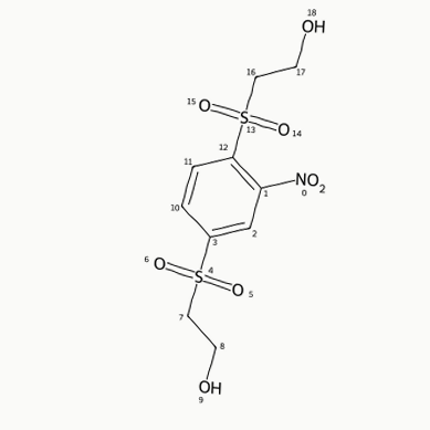 O=[N+]([O-])c1cc(S(=O)(=O)CCO)ccc1S(=O)(=O)CCO